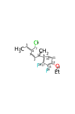 C=C(/C=C\C(=C/C)CCl)c1ccc(OCC)c(F)c1F